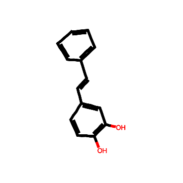 Oc1ccc(C=Cc2cc[c]cc2)cc1O